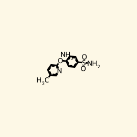 Cc1ccc(Oc2ccc(S(N)(=O)=O)cc2)nc1.N